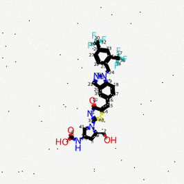 O=C(O)N[C@@H]1C[C@H](CO)N(C2=NC(=O)C(=Cc3ccc4c(cnn4Cc4ccc(C(F)(F)F)cc4C(F)(F)F)c3)S2)C1